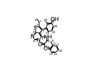 CCc1sc2ncnc(N[C@H](Cc3ccccc3)C(=O)O)c2c1-c1cccc(O)c1C